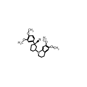 COc1ccc(C2(C#N)CCCC(N3CCCc4cc(OC)c(OC)cc43)C2)cc1OC